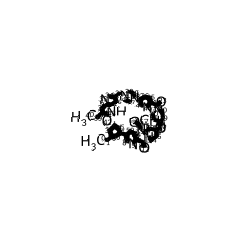 CCc1cccc(-c2cnc(C(=O)N3CCC(OC4CCN(C(=O)c5ccc(N6CCN(Cc7cnc8cc(CC)c(=O)[nH]c8c7)CC6)cn5)CC4)CC3)c(NC(C)=O)c2)c1